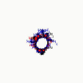 CCCCC1NC(=O)CSCC(C(=O)NCC(N)=O)NC(=O)C(Cc2cncn2C)NC(=O)C(CCCNC(=N)N)NC(=O)C(Cc2c[nH]cn2)NC(=O)C(Cc2ccc(O)cc2)N(C)C(=O)C(CCCNC(=N)N)NC(=O)C(CO)NC(=O)CNC(=O)C(Cc2c[nH]cn2)NC(=O)C(Cc2cccc3ccccc23)NC(=O)C(CC)NC1=O